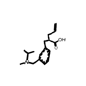 C=CCC(Cc1cccc(CN(C)C(C)C)c1)C(=O)O